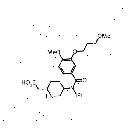 COCCCOc1cc(C(=O)N(C(C)C)[C@@H]2CC[C@@H](CC(=O)O)NC2)ccc1OC